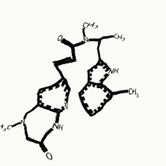 Cc1cccc2cc(C(C)N(C)C(=O)C=Cc3cnc4c(c3)CN(C)CC(=O)N4)[nH]c12